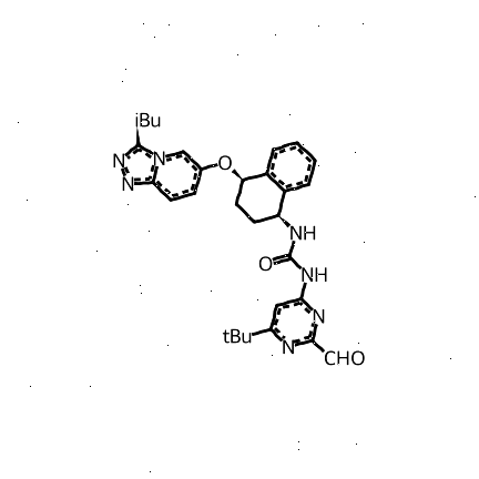 CC[C@H](C)c1nnc2ccc(O[C@@H]3CC[C@H](NC(=O)Nc4cc(C(C)(C)C)nc(C=O)n4)c4ccccc43)cn12